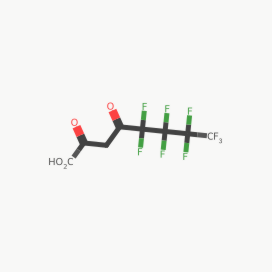 O=C(O)C(=O)CC(=O)C(F)(F)C(F)(F)C(F)(F)C(F)(F)F